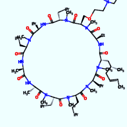 C/C=C/C[C@@H](C)C[C@H]1C(=O)N[C@H](CC)C(=O)N(C)[C@H](COCCN2CCCCC2)C(=O)N(C)[C@@H](CC(C)C)C(=O)N[C@H](C(C)C)C(=O)N(C)[C@H](CC(C)C)C(=O)N[C@H](C)C(=O)N[C@@H](C)C(=O)N(C)[C@@H](CC(C)C)C(=O)N(C)[C@H](CCC(C)C)C(=O)N(C)[C@H](C(C)C)C(=O)N1C